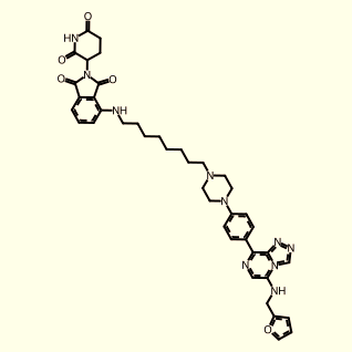 O=C1CCC(N2C(=O)c3cccc(NCCCCCCCCN4CCN(c5ccc(-c6ncc(NCc7ccco7)n7cnnc67)cc5)CC4)c3C2=O)C(=O)N1